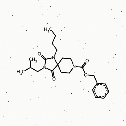 CCCCN1C(=O)N(CC(C)C)C(=O)C12CCN(C(=O)OCc1ccccc1)CC2